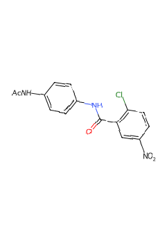 CC(=O)Nc1ccc(NC(=O)c2cc([N+](=O)[O-])ccc2Cl)cc1